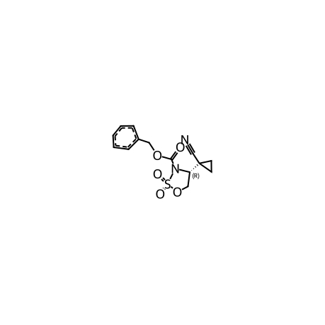 N#CC1([C@@H]2COS(=O)(=O)N2C(=O)OCc2ccccc2)CC1